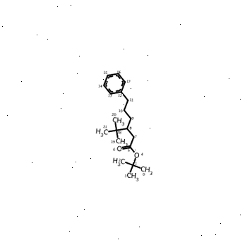 CC(C)(C)OC(=O)CC(CCCc1ccccc1)C(C)(C)C